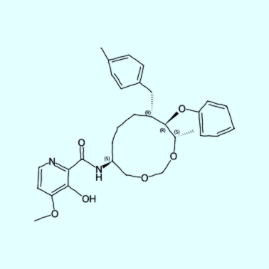 COc1ccnc(C(=O)N[C@H]2CCC[C@H](Cc3ccc(C)cc3)[C@@H](Oc3ccccc3)[C@H](C)OCOC2)c1O